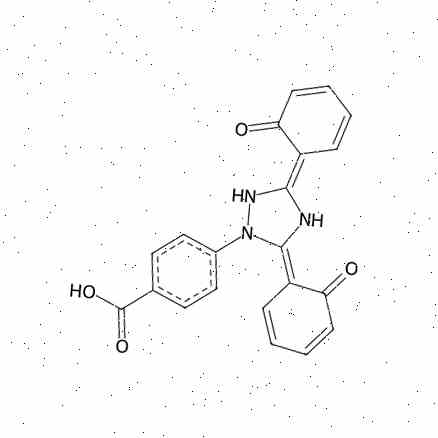 O=C1C=CC=CC1=C1NC(=C2C=CC=CC2=O)N(c2ccc(C(=O)O)cc2)N1